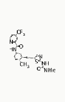 CNC(=O)Nc1ncc(C#Cc2cc(NC(=O)c3cc(C(F)(F)F)ccn3)ccc2C)s1